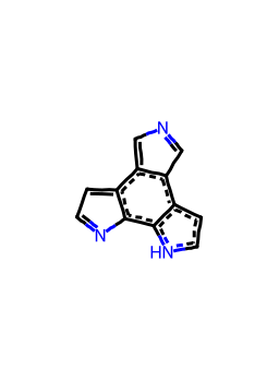 C1=NC=c2c1c1cc[nH]c1c1c2=CC=N1